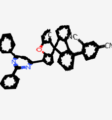 N#Cc1ccc(-c2cccc3c2-c2ccccc2C32c3ccccc3Oc3c(-c4cc(-c5ccccc5)nc(-c5ccccc5)n4)cccc32)c(C#N)c1